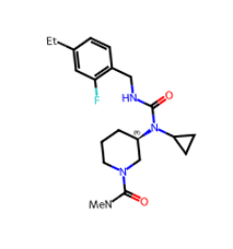 CCc1ccc(CNC(=O)N(C2CC2)[C@@H]2CCCN(C(=O)NC)C2)c(F)c1